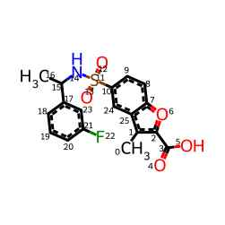 Cc1c(C(=O)O)oc2ccc(S(=O)(=O)NC(C)c3cccc(F)c3)cc12